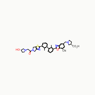 Cc1c(-c2nc3cc(CN4CC[C@@H](C(=O)O)C4)cc(C#N)c3o2)cccc1-c1cccc(-c2nc3c(s2)CN(C(=O)CN2CC[C@H](O)C2)C3)c1C